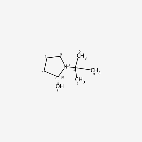 CC(C)(C)N1CCC[C@H]1O